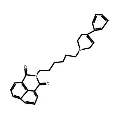 O=C1c2cccc3cccc(c23)C(=O)N1CCCCCCN1CC=C(c2ccccc2)CC1